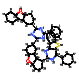 c1ccc(-c2nc(-c3ccc4oc5ccccc5c4c3)nc(-c3ccc4oc5cccc(-c6nc(-c7ccccc7)c7sc8ccccc8c7n6)c5c4c3)n2)cc1